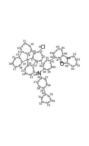 Clc1ccc2c(c1)C1(c3ccccc3-c3ccccc31)c1cccc(N(c3ccc(-c4ccccc4)cc3)c3ccc(-c4cccc5c4oc4ccccc45)cc3)c1-2